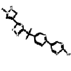 CN1C=C(c2nc(C(C)(C)c3ccc(-c4cnc(N)nc4)nc3)no2)CN1